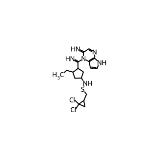 CCC1CC(NSCC2CC2(Cl)Cl)CC1C(=N)n1c(=N)cnc2[nH]ccc21